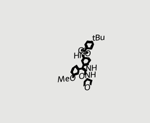 COc1cccc(-c2c(C(=O)NC3CCOCC3)[nH]c3ccc(NS(=O)(=O)c4ccc(C(C)(C)C)cc4)cc23)c1